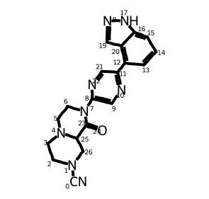 N#CN1CCN2CCN(c3cnc(-c4cccc5[nH]ncc45)cn3)C(=O)C2C1